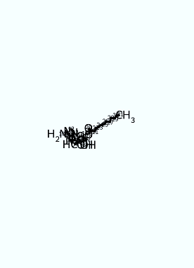 C#C[C@]1(O)[C@H](n2cnc3c(N)ncnc32)O[C@@]2(COC(=O)CCCCCCCCCCC)C[C@@]21O